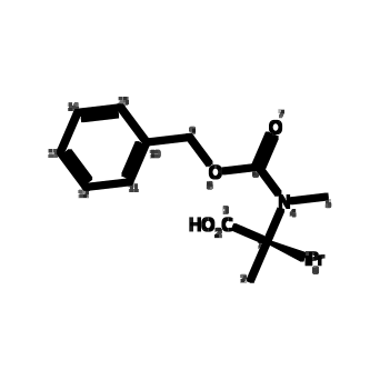 CC(C)[C@@](C)(C(=O)O)N(C)C(=O)OCc1ccccc1